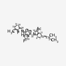 C/C=C(\C)C#Cc1ccc2c(c1)c(C(C)=O)cn2CC(=O)N1C[C@H](F)C[C@H]1C(=O)NCc1cccc(C)c1F